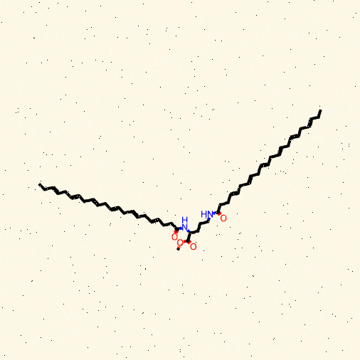 CCC=CCC=CCC=CCC=CCC=CCC=CCCC(=O)NCCCC(NC(=O)CCC=CCC=CCC=CCC=CCC=CCC=CCC)C(=O)OC